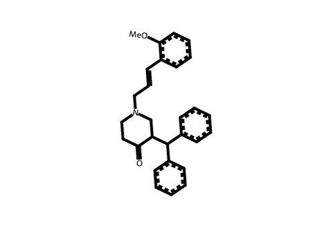 COc1ccccc1C=CCN1CCC(=O)C(C(c2ccccc2)c2ccccc2)C1